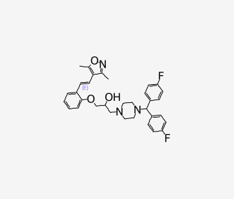 Cc1noc(C)c1/C=C/c1ccccc1OCC(O)CN1CCN(C(c2ccc(F)cc2)c2ccc(F)cc2)CC1